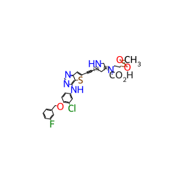 CS(=O)(=O)CCN(C(=O)O)[C@H]1CN[C@H](C#Cc2cc3ncnc(Nc4ccc(OCc5cccc(F)c5)c(Cl)c4)c3s2)C1